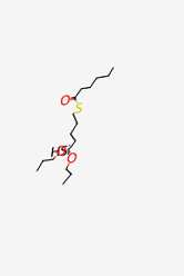 CCCCCC(=O)SCCCC[SiH](OCCC)OCCC